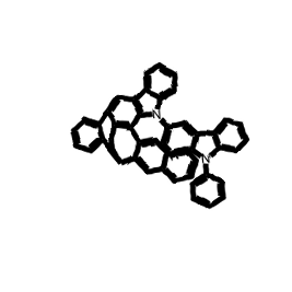 c1ccc(-n2c3ccccc3c3cc(-n4c5ccccc5c5cc6c7c(c54)-c4cc5ccccc5cc4C(CC7)c4ccccc4-6)cnc32)cc1